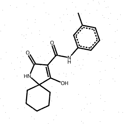 Cc1cccc(NC(=O)C2=C(O)C3(CCCCC3)NC2=O)c1